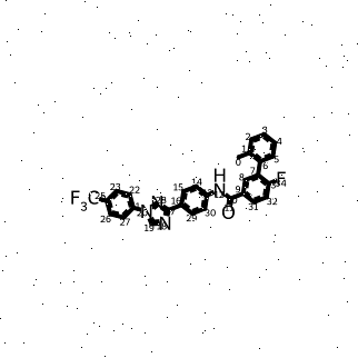 Cc1ccccc1-c1cc(C(=O)Nc2ccc(-c3ncn(-c4ccc(C(F)(F)F)cc4)n3)cc2)ccc1F